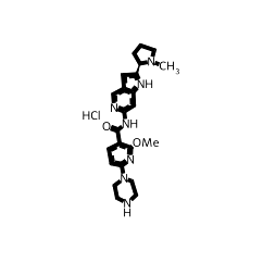 COc1nc(N2CCNCC2)ccc1C(=O)Nc1cc2[nH]c([C@H]3CCCN3C)cc2cn1.Cl